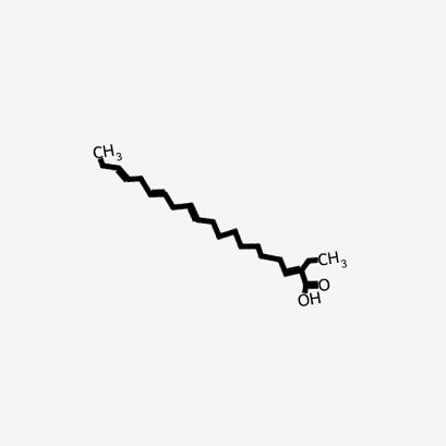 CC/C=C/C/C=C/C/C=C/CCCCCCC/C=C(\CC)C(=O)O